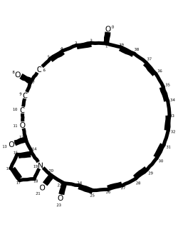 O=C1/C=C\C=CCC(=O)CCOC(=O)C2=CC=CCN2C(=O)C(=O)/C=C/C=C\C=C/C=C\C=C/C=C\C=C/C=C\1